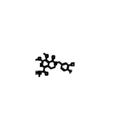 CNC(=O)c1nc(OC)c(OC)c2c1CCN(Cc1ccc(F)c(Cl)c1)C2=O